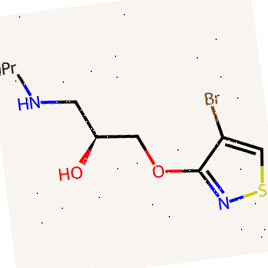 CC(C)NC[C@H](O)COc1nscc1Br